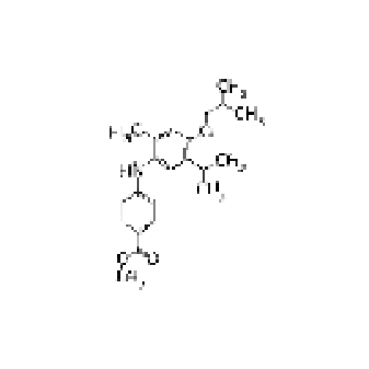 COC(=O)c1ccc(Nc2cc(C(C)C)c(OCC(C)C)cc2C)cc1